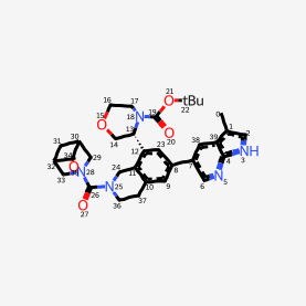 Cc1c[nH]c2ncc(-c3cc4c(c([C@@H]5COCCN5C(=O)OC(C)(C)C)c3)CN(C(=O)N3CC5CC(C3)C5=O)CC4)cc12